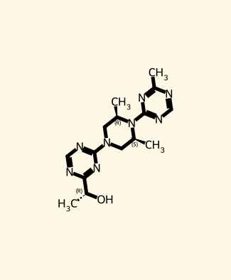 Cc1ncnc(N2[C@H](C)CN(c3ncnc([C@@H](C)O)n3)C[C@@H]2C)n1